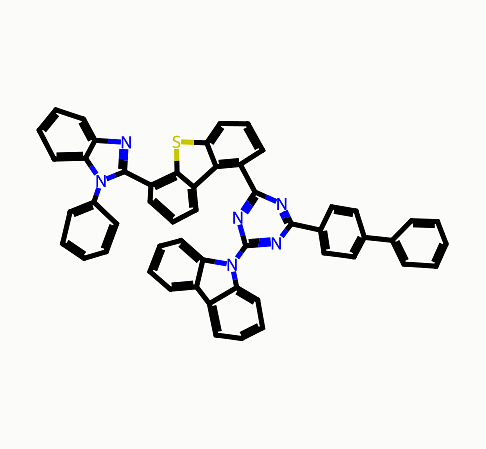 c1ccc(-c2ccc(-c3nc(-c4cccc5sc6c(-c7nc8ccccc8n7-c7ccccc7)cccc6c45)nc(-n4c5ccccc5c5ccccc54)n3)cc2)cc1